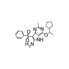 Cc1nc(OC(C)C2CCCC2)c2[nH]c(N)c(S(=O)(=O)c3ccccc3)c2n1